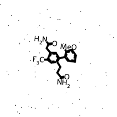 COc1ccccc1-c1cc(CC(N)=O)c(C(F)(F)F)cc1CCC(N)=O